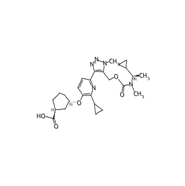 C[C@H](C1CC1)N(C)C(=O)OCc1c(-c2ccc(O[C@H]3CCC[C@H](C(=O)O)C3)c(C3CC3)n2)nnn1C